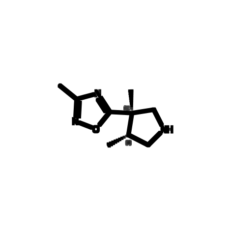 Cc1noc([C@@]2(C)CNC[C@@H]2C)n1